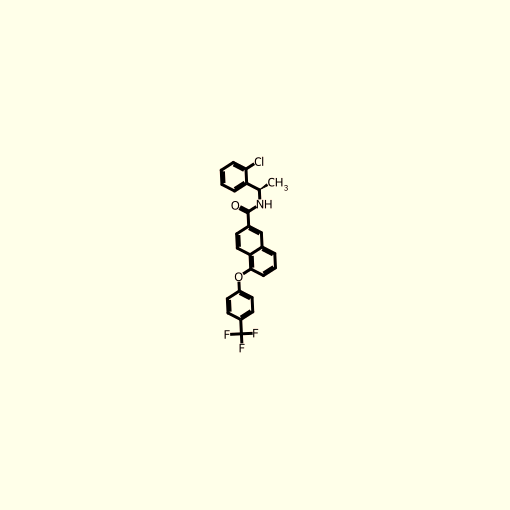 C[C@@H](NC(=O)c1ccc2c(Oc3ccc(C(F)(F)F)cc3)cccc2c1)c1ccccc1Cl